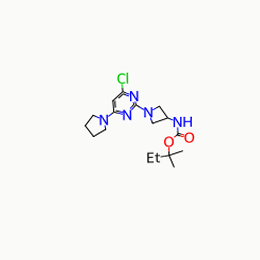 CCC(C)(C)OC(=O)NC1CN(c2nc(Cl)cc(N3CCCC3)n2)C1